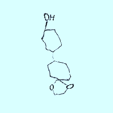 O[C@H]1CC[C@H](C2CCC3(CC2)OCCO3)CC1